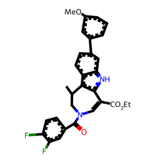 CCOC(=O)C1=CN(C(=O)c2ccc(F)c(F)c2)CC(C)c2c1[nH]c1cc(-c3cccc(OC)c3)ccc21